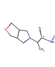 CN[C@H](Br)C(C)N1CC2COCC2C1